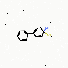 NC1(S)C=CC(c2ccccc2)=CC1